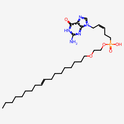 CCCCCCCC/C=C/CCCCCCCCOCCOP(=O)(O)CC/C=C\Cn1cnc2c(=O)[nH]c(N)nc21